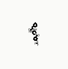 O=C1NC2(CCN(C(=O)c3cccc(SC(F)F)c3)CC2)NC1Cc1ccccc1